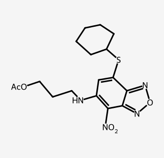 CC(=O)OCCCNc1cc(SC2CCCCC2)c2nonc2c1[N+](=O)[O-]